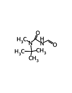 CN(C(=O)NC=O)C(C)(C)C